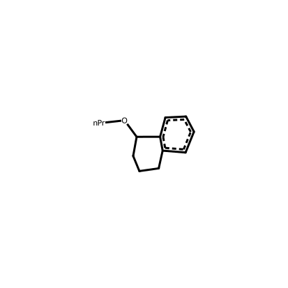 CCCOC1CCCc2ccccc21